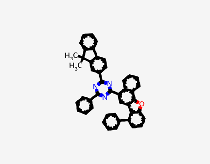 CC1(C)c2ccccc2-c2ccc(-c3nc(-c4ccccc4)nc(-c4cc5c(oc6cccc(-c7ccccc7)c65)c5ccccc45)n3)cc21